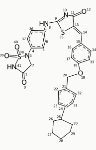 O=C1CN(c2ccc(NC3=NC(=O)/C(=C/c4ccc(OCc5ccc(C6CCCCC6)cc5)cc4)S3)cc2)S(=O)(=O)N1